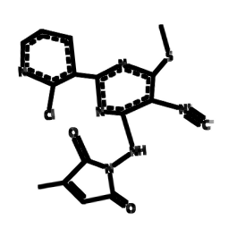 [C-]#[N+]c1c(NN2C(=O)C=C(C)C2=O)nc(-c2cccnc2Cl)nc1SC